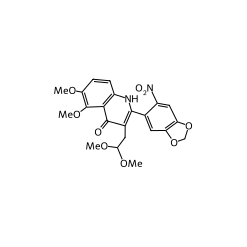 COc1ccc2[nH]c(-c3cc4c(cc3[N+](=O)[O-])OCO4)c(CC(OC)OC)c(=O)c2c1OC